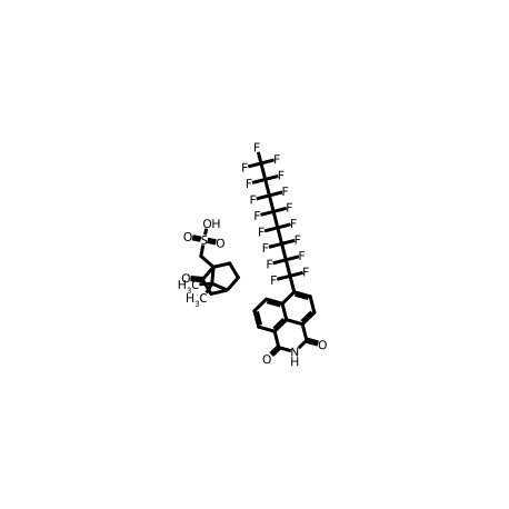 CC1(C)C2CCC1(CS(=O)(=O)O)C(=O)C2.O=C1NC(=O)c2ccc(C(F)(F)C(F)(F)C(F)(F)C(F)(F)C(F)(F)C(F)(F)C(F)(F)C(F)(F)F)c3cccc1c23